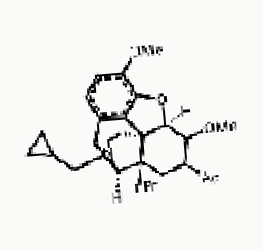 CCC[C@]12C[C@H](C(C)=O)C(OC)[C@@H]3Oc4c(OC)ccc5c4[C@@]31CCN(CC1CC1)[C@@H]2C5